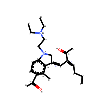 CCC/C=C(\C=C1/CN(CCN(CC)CC)c2ccc(C(C)=O)c(C)c21)C(C)=O